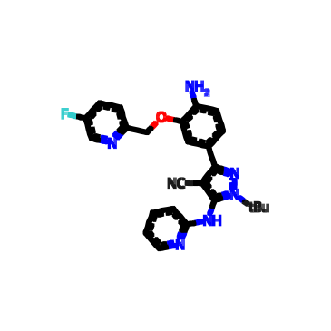 CC(C)(C)n1nc(-c2ccc(N)c(OCc3ccc(F)cn3)c2)c(C#N)c1Nc1ccccn1